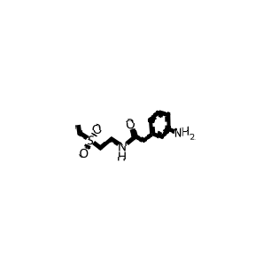 CCS(=O)(=O)CCNC(=O)Cc1cccc(N)c1